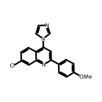 COc1ccc(-c2cc(-n3ccnc3)c3ccc(Cl)cc3n2)cc1